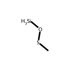 CSO[SiH3]